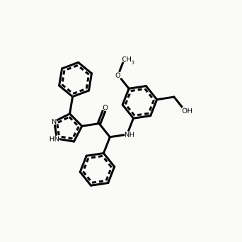 COc1cc(CO)cc(NC(C(=O)c2c[nH]nc2-c2ccccc2)c2ccccc2)c1